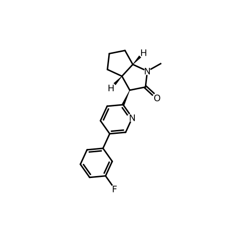 CN1C(=O)[C@@H](c2ccc(-c3cccc(F)c3)cn2)[C@@H]2CCC[C@@H]21